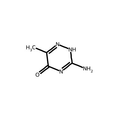 Cc1n[nH]c(N)nc1=O